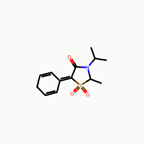 CC(C)N1C(=O)C(=C2C=CCC=C2)S(=O)(=O)C1C